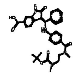 CN(CCN(C)C(=O)c1ccc(NC(=C2C(=O)Nc3cc(C(=O)O)ccc32)c2ccccc2)cc1)C(=O)OC(C)(C)C